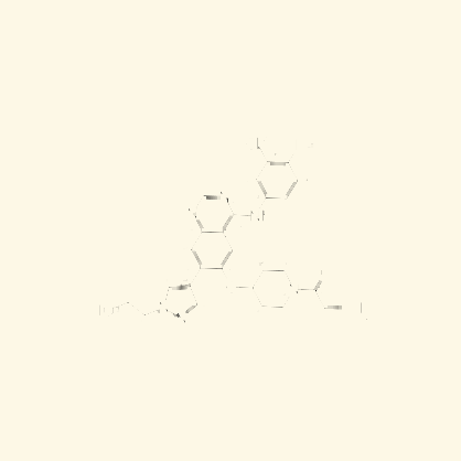 C=CC(=O)N1CCC(Oc2cc3c(Nc4ccc(F)c(Cl)c4)ncnc3cc2-c2cnn(CCO)c2)CC1